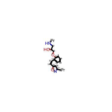 CC(C)NCC(O)COc1ccccc1/C=C\c1cc(C(C)C)no1